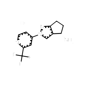 Cl.N[C@H]1CCc2nn(-c3ccnc(C(F)(F)F)c3)cc21